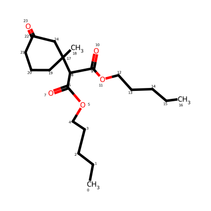 CCCCCOC(=O)C(C(=O)OCCCCC)C1(C)CCCC(=O)C1